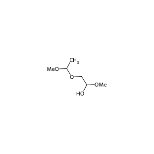 COC(O)COC(C)OC